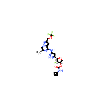 Cc1cn2nc(COC(F)(F)F)cc2c(Nc2cc([C@H]3OC[C@@H](OC(=O)NC45CC(C4)C5)[C@H]3F)[nH]n2)n1